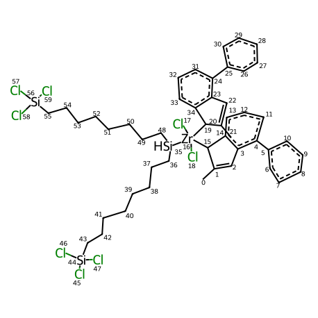 CC1=Cc2c(-c3ccccc3)cccc2[CH]1[Zr]([Cl])([Cl])([CH]1C(C)=Cc2c(-c3ccccc3)cccc21)[SiH](CCCCCCCC[Si](Cl)(Cl)Cl)CCCCCCCC[Si](Cl)(Cl)Cl